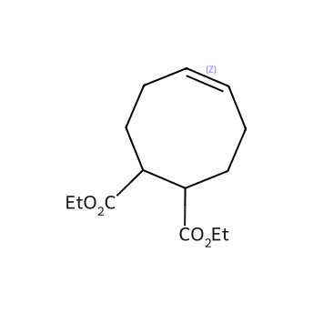 CCOC(=O)C1CC/C=C\CCC1C(=O)OCC